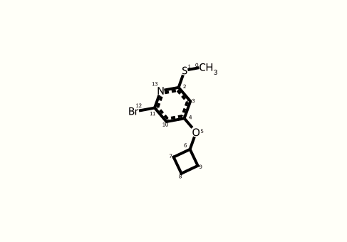 CSc1cc(OC2CCC2)cc(Br)n1